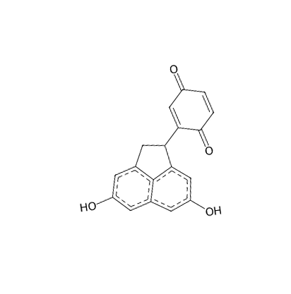 O=C1C=CC(=O)C(C2Cc3cc(O)cc4cc(O)cc2c34)=C1